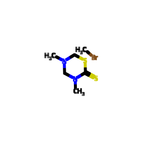 CBr.CN1CSC(=S)N(C)C1